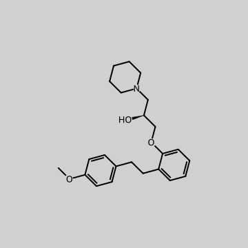 COc1ccc(CCc2ccccc2OC[C@@H](O)CN2CCCCC2)cc1